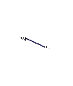 C=CC(=O)/C=C/C=C/C=C/C=C/C=C/C=C/C/C=C/C/C=C/C=C/C=C/C